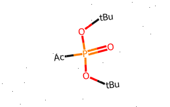 CC(=O)P(=O)(OC(C)(C)C)OC(C)(C)C